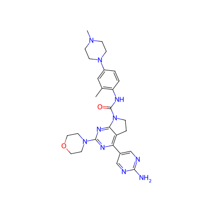 Cc1cc(N2CCN(C)CC2)ccc1NC(=O)N1CCc2c(-c3cnc(N)nc3)nc(N3CCOCC3)nc21